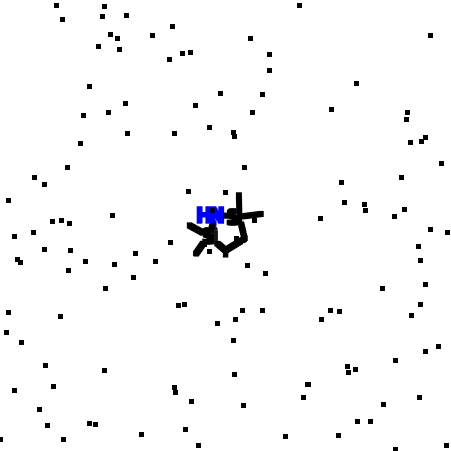 C[Si]1(C)[CH]C[Si](C)(C)N1